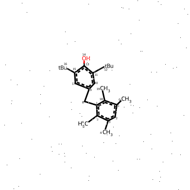 Cc1cc(C)c(C)c(Cc2cc(C(C)(C)C)c(O)c(C(C)(C)C)c2)c1C